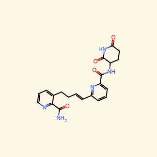 NC(=O)c1ncccc1CCC=Cc1cccc(C(=O)NC2CCC(=O)NC2=O)n1